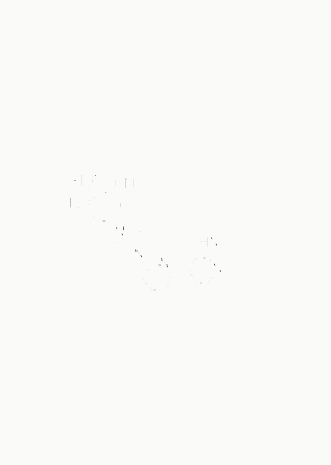 CC(C)(C)OC(=O)N1CCN(c2cccc(-c3ccnc(NC4CCCCC4)c3)n2)CC1